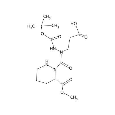 COC(=O)[C@@H]1CCCNN1C(=O)N(CCC(=O)O)NC(=O)OC(C)(C)C